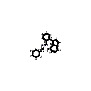 C1=CC(c2ccccc2/C=N/NC2CCCCC2)c2ccccc21